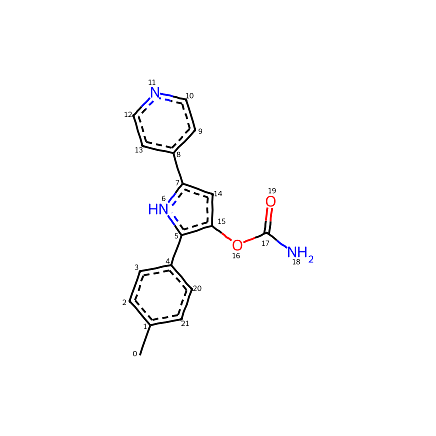 Cc1ccc(-c2[nH]c(-c3ccncc3)cc2OC(N)=O)cc1